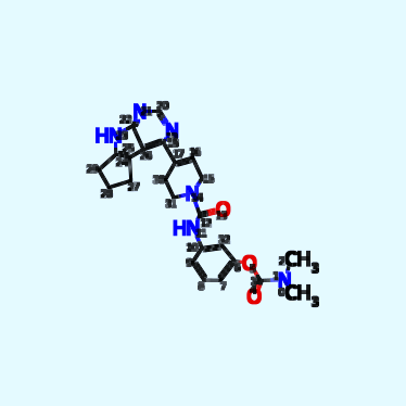 CN(C)C(=O)Oc1cccc(NC(=O)N2CC=C(c3ncnc4[nH]c5c(c34)CCC5)CC2)c1